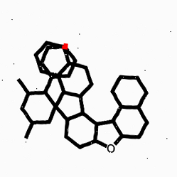 CC1CC(C)C(C2CCCCC2)C2(C1)C1CCC3OC4CCC5CCCCC5C4C3C1C1CCC3CCCCC3C12